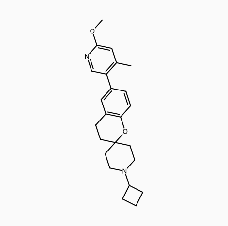 COc1cc(C)c(-c2ccc3c(c2)CCC2(CCN(C4CCC4)CC2)O3)cn1